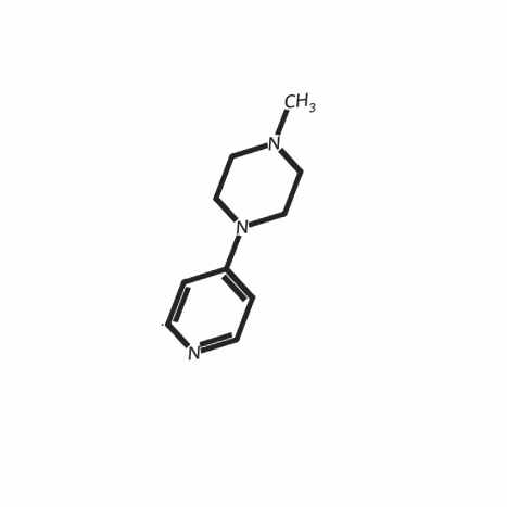 CN1CCN(c2c[c]ncc2)CC1